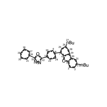 CCCCc1ccc2oc3c(-c4ccc(-c5nnc(-c6ccccc6)o5)cc4)cc(CCCC)cc3c2c1